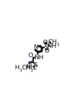 CN/C=C(\SC)C(=O)Nc1cncc(S(=O)(=O)NC)c1